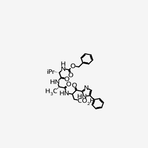 CC(C)[C@H](NC(=O)OCc1ccccc1)C(=O)N[C@@H](C)C(=O)NC(CC(=O)O)C(=O)c1ncc(-c2ccccc2)[nH]1